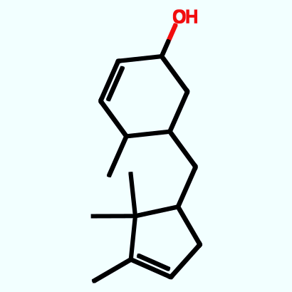 CC1=CCC(CC2CC(O)C=CC2C)C1(C)C